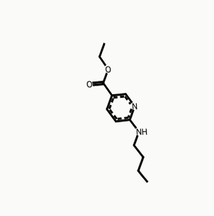 CCCCNc1ccc(C(=O)OCC)cn1